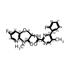 Cc1cnc(C(=O)NC2COc3cc(F)cnc3N(C)C2=O)nc1-c1ccccc1F